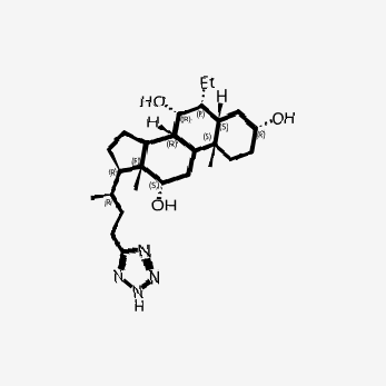 CC[C@H]1[C@@H](O)[C@H]2C3CC[C@H]([C@H](C)CCc4nn[nH]n4)[C@@]3(C)[C@@H](O)CC2[C@@]2(C)CC[C@@H](O)C[C@@H]12